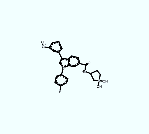 O=C(NC1CCS(O)(O)C1)c1ccc2c(-c3cccc(OC(F)(F)F)c3)cn(-c3ccc(F)cc3)c2c1